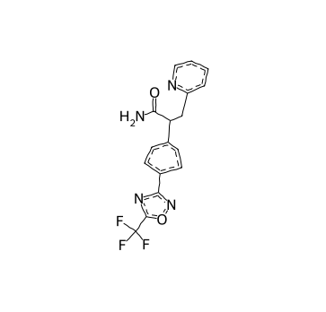 NC(=O)C(Cc1ccccn1)c1ccc(-c2noc(C(F)(F)F)n2)cc1